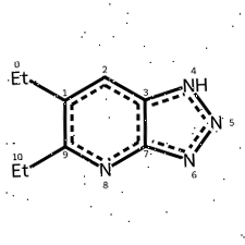 CCc1cc2[nH]nnc2nc1CC